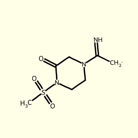 [CH2]C(=N)N1CCN(S(C)(=O)=O)C(=O)C1